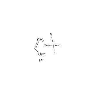 C=COC(C)=O.F[B-](F)(F)F.[H+]